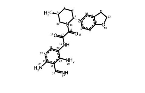 C[C@H]1CC[C@H](c2ccc3c(c2)CCO3)N(C(=O)C(=O)Nc2cnc(N)c(C=N)c2N)C1